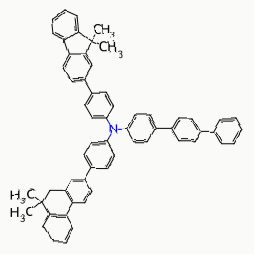 CC1(C)Cc2cc(-c3ccc(N(c4ccc(-c5ccc(-c6ccccc6)cc5)cc4)c4ccc(-c5ccc6c(c5)C(C)(C)c5ccccc5-6)cc4)cc3)ccc2C2=C1CCC=C2